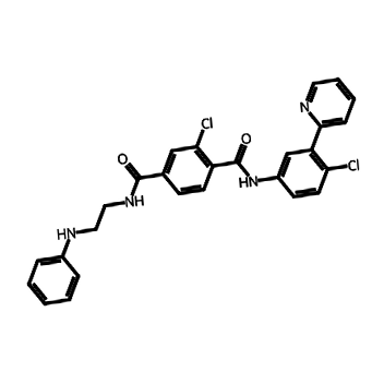 O=C(NCCNc1ccccc1)c1ccc(C(=O)Nc2ccc(Cl)c(-c3ccccn3)c2)c(Cl)c1